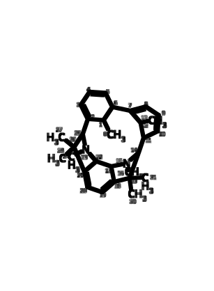 CC1C2=CC=CC1C1=CC=CC(C1C)C1N(C)C3C(=CC=C4C3N(C)C2C4(C)C)C1(C)C